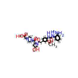 COc1cc(CC(=O)N2C[C@@H](O)C[C@H]2C(=O)N2CCN(CC(=O)O)CC2)ccc1NC(=O)Nc1ccccc1N